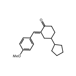 COc1ccc(C=C2CC(C3CCCC3)CCC2=O)cc1